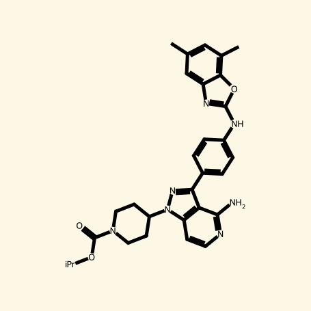 Cc1cc(C)c2oc(Nc3ccc(-c4nn(C5CCN(C(=O)OC(C)C)CC5)c5ccnc(N)c45)cc3)nc2c1